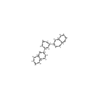 c1cc(-c2ccc3ccccc3c2)cc(-c2ccc3ccccc3c2)c1